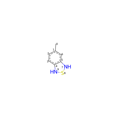 Cc1ccc2c(c1)NSN2